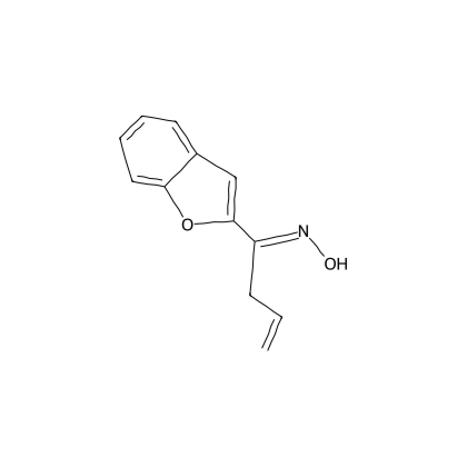 C=CCC(=NO)c1cc2ccccc2o1